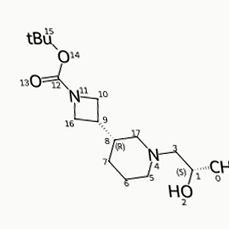 C[C@H](O)CN1CCC[C@H](C2CN(C(=O)OC(C)(C)C)C2)C1